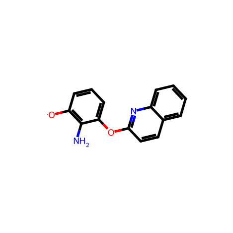 Nc1c([O])cccc1Oc1ccc2ccccc2n1